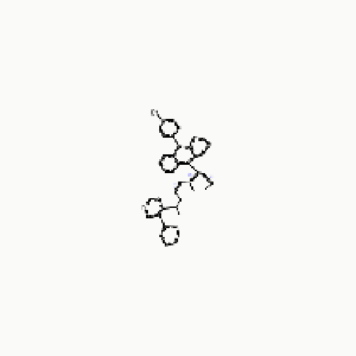 C\C=C/C(=C(C)/C=C\CC(C)c1ccncc1-c1ccccc1)c1c2ccccc2c(-c2ccc(CC)cc2)c2ccccc12